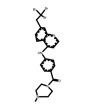 CN1CCN(C(=O)c2ccc(Nc3ccnc4cc(CC(Br)(Br)Br)ccc34)cc2)CC1